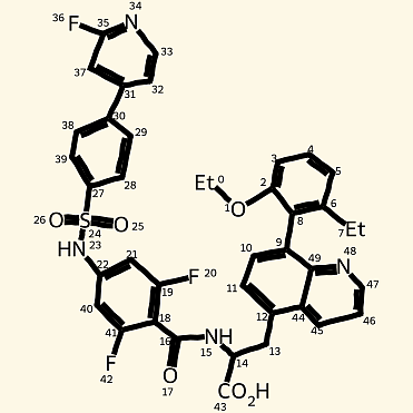 CCOc1cccc(CC)c1-c1ccc(CC(NC(=O)c2c(F)cc(NS(=O)(=O)c3ccc(-c4ccnc(F)c4)cc3)cc2F)C(=O)O)c2cccnc12